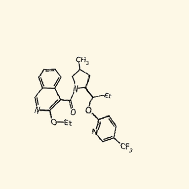 CCOc1ncc2ccccc2c1C(=O)N1CC(C)CC1C(CC)Oc1ccc(C(F)(F)F)cn1